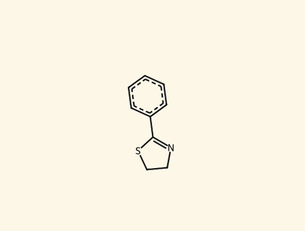 c1ccc(C2=NCCS2)cc1